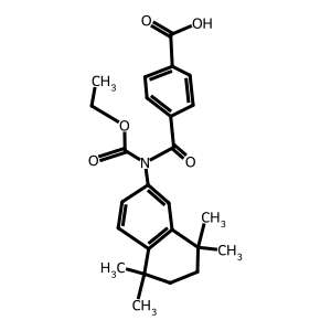 CCOC(=O)N(C(=O)c1ccc(C(=O)O)cc1)c1ccc2c(c1)C(C)(C)CCC2(C)C